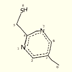 Cc1cnc(CS)nc1